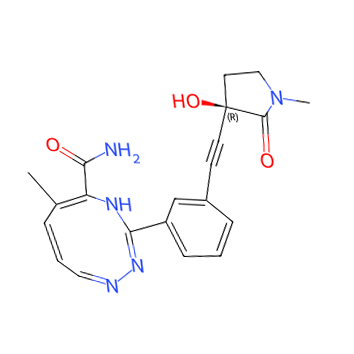 Cc1cccnnc(-c2cccc(C#C[C@]3(O)CCN(C)C3=O)c2)[nH]c1C(N)=O